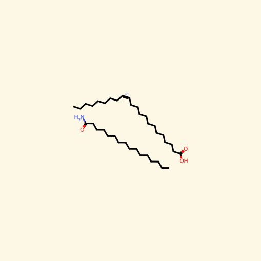 CCCCCCCC/C=C\CCCCCCCCCCCC(=O)O.CCCCCCCCCCCCCCCC(N)=O